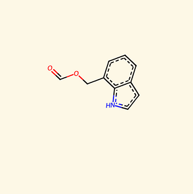 O=COCc1cccc2cc[nH]c12